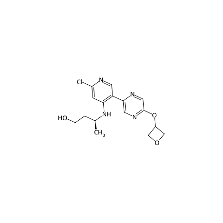 C[C@@H](CCO)Nc1cc(Cl)ncc1-c1cnc(OC2COC2)cn1